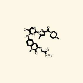 CNC(=O)COc1cc2cc(Nc3nc(-n4nc(C(=O)N5CCN(C)CC5)cc4C)ncc3Cl)ccc2n(C)c1=O